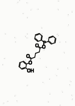 O=C(CCCC(=O)OP(c1ccccc1)c1ccccc1)Oc1ccccc1O